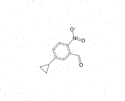 O=Cc1cc(C2CC2)ccc1[N+](=O)[O-]